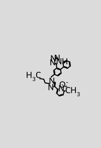 CCCCc1nc(-c2cccc(C)[n+]2[O-])cn1Cc1ccc(-c2ccccc2)c(-c2nnn[nH]2)c1